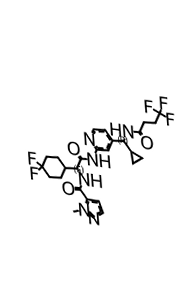 Cn1nccc1C(=O)N[C@H](C(=O)Nc1cc([C@H](NC(=O)CCC(F)(F)F)C2CC2)ccn1)C1CCC(F)(F)CC1